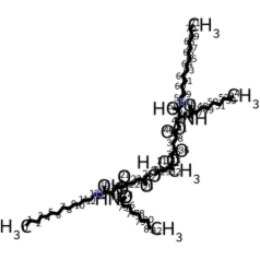 CCCCCCCCCCCCC/C=C/C(O)C(COC(=O)CCC(=O)COCCC(C)(C)OCC(=O)CCC(=O)OCC(NC(=O)CCCCCCCC)C(O)/C=C/CCCCCCCCCCCCC)NC(=O)CCCCCCCC